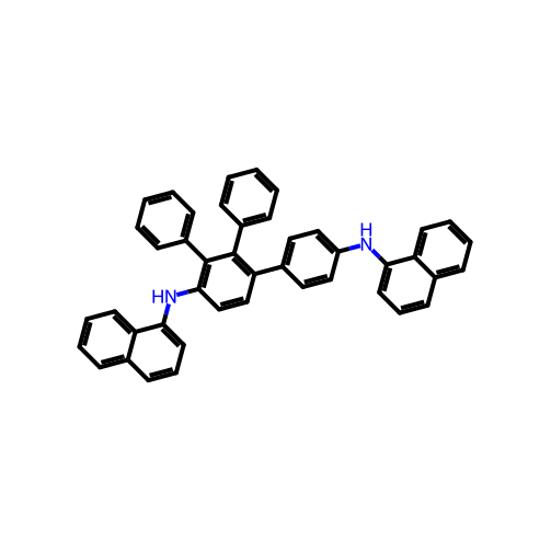 c1ccc(-c2c(Nc3cccc4ccccc34)ccc(-c3ccc(Nc4cccc5ccccc45)cc3)c2-c2ccccc2)cc1